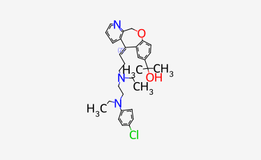 CCN(CC/C=C1\c2cc(C(C)(C)O)ccc2OCc2ncccc21)CCN(CC)c1ccc(Cl)cc1